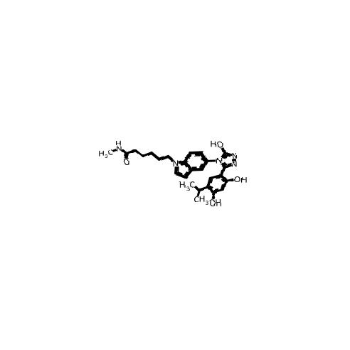 CNC(=O)CCCCCn1ccc2cc(-n3c(O)nnc3-c3cc(C(C)C)c(O)cc3O)ccc21